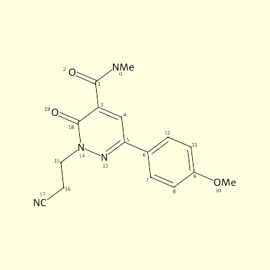 CNC(=O)c1cc(-c2ccc(OC)cc2)nn(CCC#N)c1=O